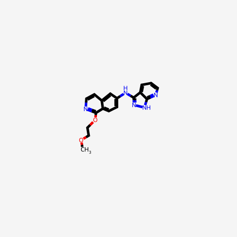 COCCOc1nccc2cc(Nc3n[nH]c4ncccc34)ccc12